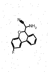 N#CC(N)C1Oc2ccc(F)cc2-c2ccccc21